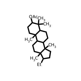 CCC1CCC2(C)C3CCC4C(C)(C)C(OC(C)=O)CCC4(C)C3CCC12C